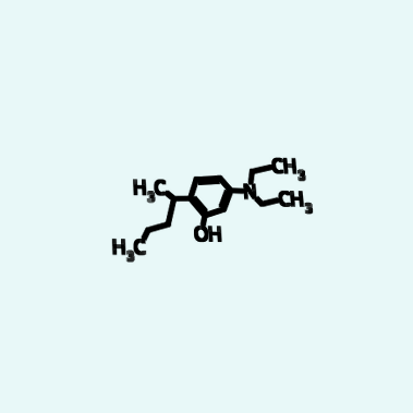 CCCC(C)c1ccc(N(CC)CC)cc1O